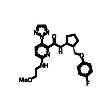 COCCNc1ccc(-n2nccn2)c(C(=O)N[C@H]2CCC[C@@H]2COc2ccc(F)cc2)n1